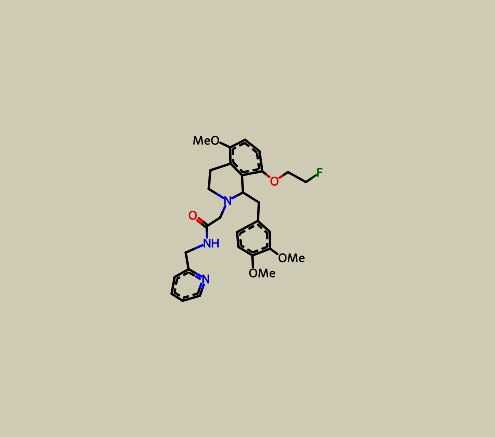 COc1ccc(CC2c3c(OCCF)ccc(OC)c3CCN2CC(=O)NCc2ccccn2)cc1OC